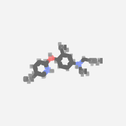 Cc1cc(N(C)CC(=O)O)ccc1Oc1ccc([N+](=O)[O-])cn1